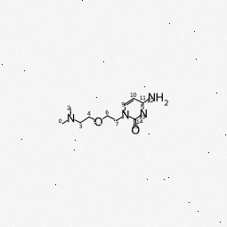 CN(C)CCOCCn1ccc(N)nc1=O